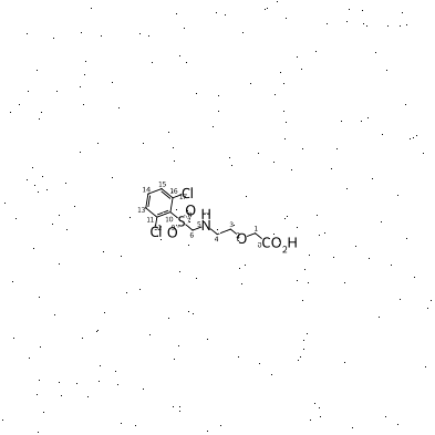 O=C(O)COCCNCS(=O)(=O)c1c(Cl)cccc1Cl